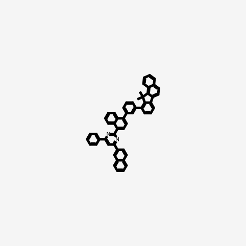 CC1(C)c2c(-c3cccc(-c4ccc(-c5nc(-c6ccccc6)cc(-c6ccc7ccccc7c6)n5)c5ccccc45)c3)cccc2-c2ccc3ccccc3c21